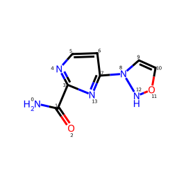 NC(=O)c1nccc(N2C=CON2)n1